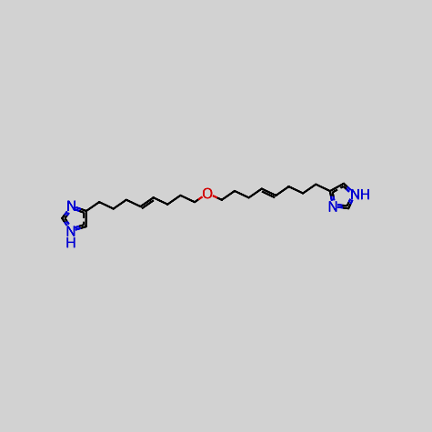 C(=CCCCc1c[nH]cn1)CCCOCCCC=CCCCc1c[nH]cn1